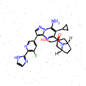 Nc1c(C2CC2)c(C2C[C@H]3CC[C@@H](C2)N3C(=O)CO)nc2c(-c3cnc(-c4ncc[nH]4)c(F)c3)cnn12